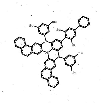 CC(C)(C)c1cc(N2c3cc4c(ccc5ccccc54)cc3B3c4cc5ccc6ccccc6c5cc4N(c4cc(C(C)(C)C)cc(C(C)(C)C)c4)c4cc(-c5c(C(C)(C)C)cc(-c6ccccc6)cc5C(C)(C)C)cc2c43)cc(C(C)(C)C)c1